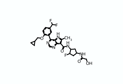 Cc1[nH]c2c(-c3cc(C(F)F)ccc3OCC3CC3)ncnc2c1C(=O)NC1CC(NC(=O)CO)CC1F